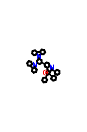 c1ccc(-c2oc3c(c(-c4ccccc4)nc4ccc(-c5cc(-n6c7ccccc7c7ccccc76)cc(-n6c7ccccc7c7ccccc76)c5)cc43)c2-c2ccccc2)cc1